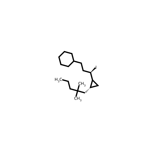 CCCC(C)(C)C[C@H]1CC1[C@H](I)CCC1CCCCC1